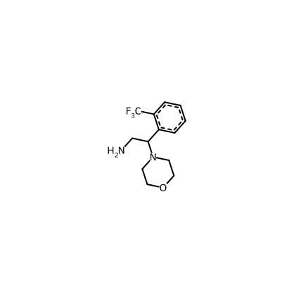 NCC(c1ccccc1C(F)(F)F)N1CCOCC1